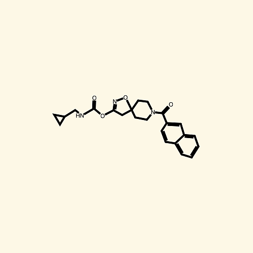 O=C(NCC1CC1)OC1=NOC2(CCN(C(=O)c3ccc4ccccc4c3)CC2)C1